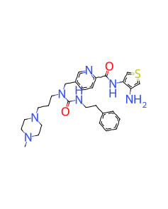 CN1CCN(CCCN(Cc2ccc(C(=O)Nc3cscc3N)nc2)C(=O)NCCc2ccccc2)CC1